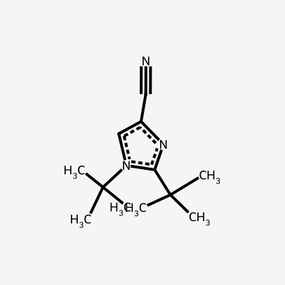 CC(C)(C)c1nc(C#N)cn1C(C)(C)C